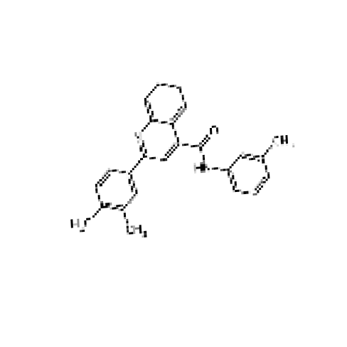 Cc1cccc(NC(=O)c2cc(-c3ccc(C)c(C)c3)nc3c2=CCCC=3)c1